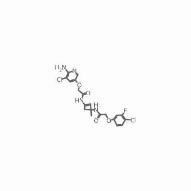 CC1(NC(=O)COc2ccc(Cl)c(F)c2)C=C(NC(=O)COc2cnc(N)c(Cl)c2)C1